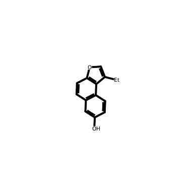 CCc1coc2ccc3cc(O)ccc3c12